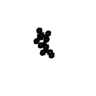 c1ccc(-c2nc(-c3ccccc3)nc(-n3c4ccccc4c4ccc(-n5c6ccccc6c6c7c8ccccc8n(-c8ccc9ccccc9c8)c7ccc65)cc43)n2)cc1